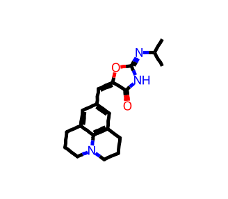 CC(C)/N=C1\NC(=O)/C(=C\c2cc3c4c(c2)CCCN4CCC3)O1